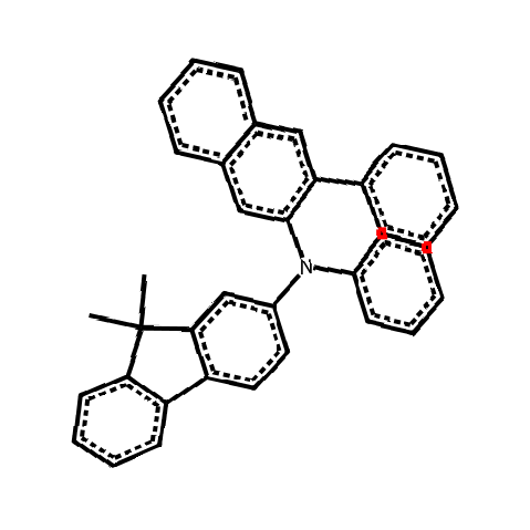 CC1(C)c2ccccc2-c2ccc(N(c3ccccc3)c3cc4ccccc4cc3-c3ccccc3)cc21